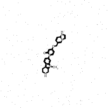 Cn1c2c(c3ccc(-n4ccc(OCC5=CN6C=CNC6C=C5)cc4=O)cc31)CCNC2